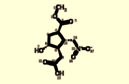 COC(=O)[C@@H]1C[C@@H](O)[C@H](CC(=O)O)[C@H]1C[N+](=O)[O-]